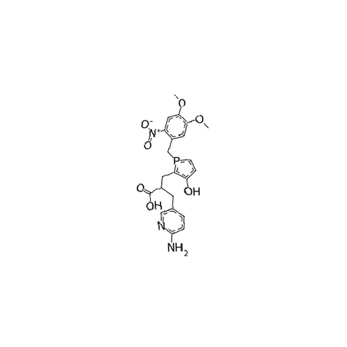 COc1cc(Cp2ccc(O)c2CC(Cc2ccc(N)nc2)C(=O)O)c([N+](=O)[O-])cc1OC